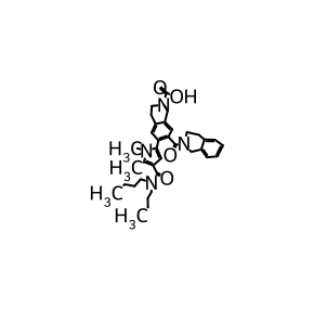 CCCCN(CCCC)C(=O)c1cc(-c2cc3c(cc2C(=O)N2CCc4ccccc4C2)CN(C(=O)O)CC3)n(C)c1C